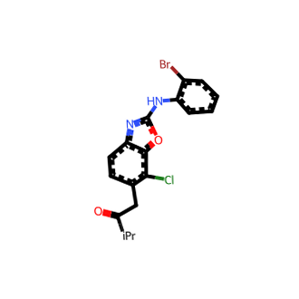 CC(C)C(=O)Cc1ccc2nc(Nc3ccccc3Br)oc2c1Cl